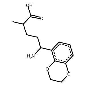 CC(CCC(N)c1cccc2c1OCCO2)C(=O)O